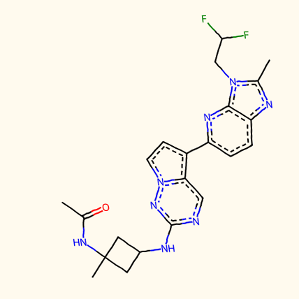 CC(=O)NC1(C)CC(Nc2ncc3c(-c4ccc5nc(C)n(CC(F)F)c5n4)ccn3n2)C1